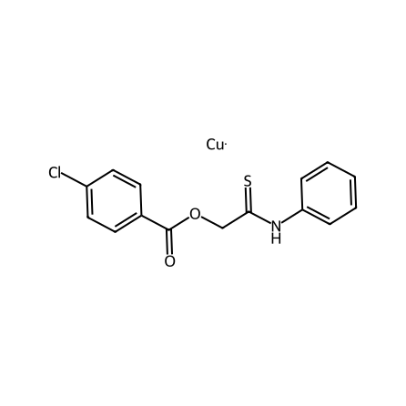 O=C(OCC(=S)Nc1ccccc1)c1ccc(Cl)cc1.[Cu]